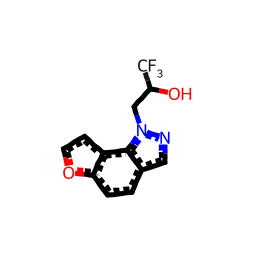 OC(Cn1ncc2ccc3occc3c21)C(F)(F)F